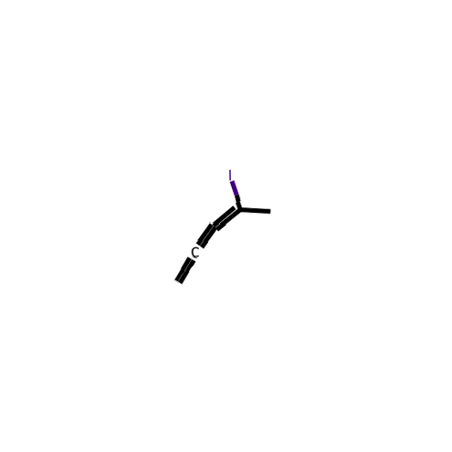 C=C=C=C(C)I